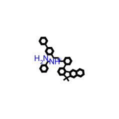 CC1(C)c2cc3ccccc3cc2-c2c(-c3ccccc3/C=C/C(NC(N)c3ccccc3)c3ccc(-c4ccccc4)cc3)cccc21